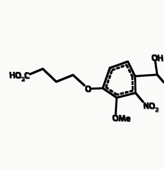 COc1c(OCCCC(=O)O)ccc(C(C)O)c1[N+](=O)[O-]